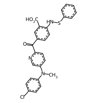 CN(c1ccc(Cl)cc1)c1ccc(C(=O)c2ccc(NSc3ccccc3)c(C(=O)O)c2)nc1